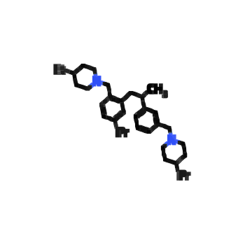 CCC1CCN(Cc2ccc(C(C)C)cc2CC(C)c2cccc(CN3CCC(C(C)C)CC3)c2)CC1